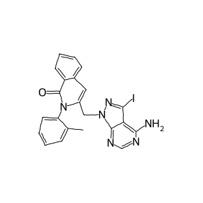 Cc1ccccc1-n1c(Cn2nc(I)c3c(N)ncnc32)cc2ccccc2c1=O